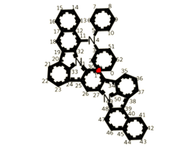 c1ccc(N(c2ccccc2)c2c3ccccc3cc3c4cccc5c6cc7c(cc6n(c23)c54)c2cccc3c4c5ccccc5ccc4n7c23)cc1